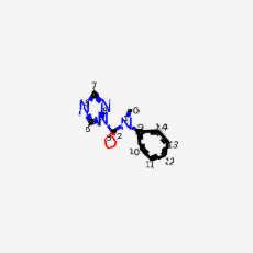 CN(C(=O)n1cncn1)c1ccccc1